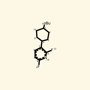 CCCCC1CCC(c2ccc(F)nc2F)CC1